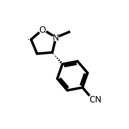 CN1O[CH]C[C@H]1c1ccc(C#N)cc1